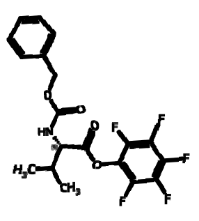 CC(C)[C@H](NC(=O)OCc1ccccc1)C(=O)Oc1c(F)c(F)c(F)c(F)c1F